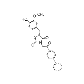 COc1cc(/C=C2\SC(=O)N(CC(=O)c3ccc(-c4ccccc4)cc3)C2=O)ccc1O